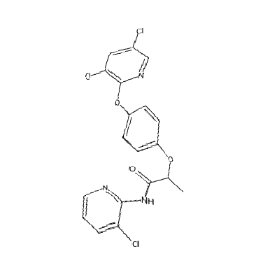 CC(Oc1ccc(Oc2ncc(Cl)cc2Cl)cc1)C(=O)Nc1ncccc1Cl